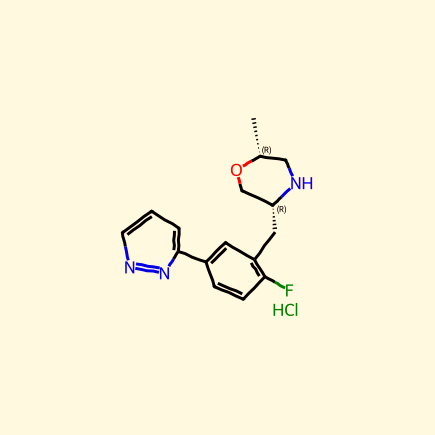 C[C@@H]1CN[C@H](Cc2cc(-c3cccnn3)ccc2F)CO1.Cl